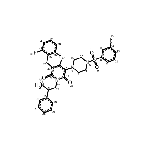 Cc1c(N2CCN(S(=O)(=O)c3cccc(F)c3)CC2)c(=O)n(CC(N)c2ccccc2)c(=O)n1Cc1c(F)cccc1F